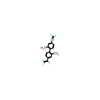 Cc1c[c]([Cf]=[C](F)F)ccc1-c1ccc(C(F)=C(F)F)cc1C